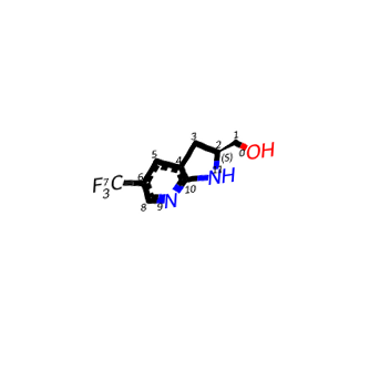 OC[C@@H]1Cc2cc(C(F)(F)F)cnc2N1